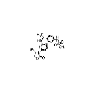 CC(C)C1COC(=O)N1c1ccnc(N[C@@H](C)c2ccc(NS(C)(=O)=O)cc2)n1